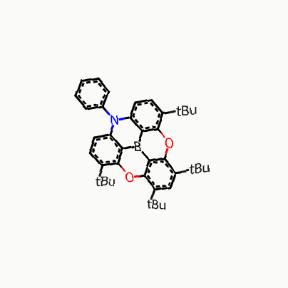 CC(C)(C)c1ccc2c3c1Oc1c(C(C)(C)C)cc(C(C)(C)C)c4c1B3c1c(ccc(C(C)(C)C)c1O4)N2c1ccccc1